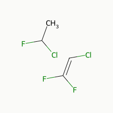 CC(F)Cl.FC(F)=CCl